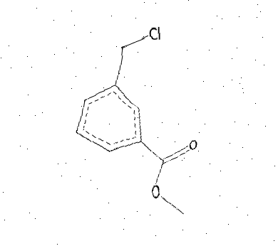 COC(=O)c1cccc(CCl)c1